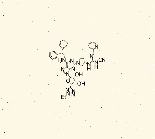 CCn1nnc([C@H]2O[C@@H](n3cnc4c(NCC(c5ccccc5)c5ccccc5)nc(N5CC[C@@H](NC(=NCc6ccccn6)NC#N)C5)nc43)[C@H](O)[C@@H]2O)n1